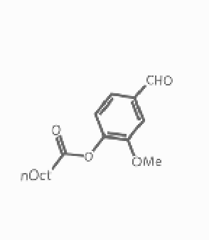 CCCCCCCCC(=O)Oc1ccc(C=O)cc1OC